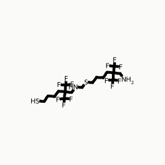 NCC(CCCCSCNCC(CCCCS)(C(F)(F)F)C(F)(F)F)(C(F)(F)F)C(F)(F)F